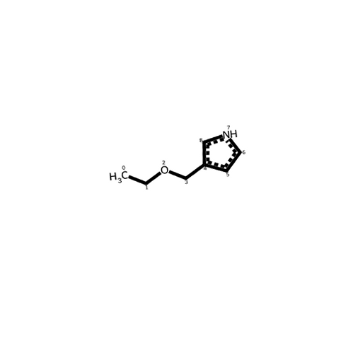 CCOCc1cc[nH]c1